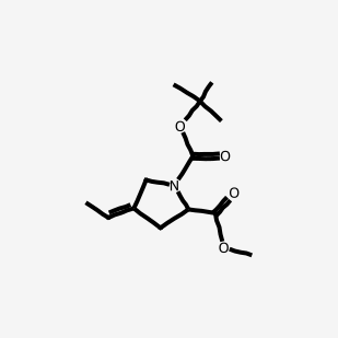 CC=C1CC(C(=O)OC)N(C(=O)OC(C)(C)C)C1